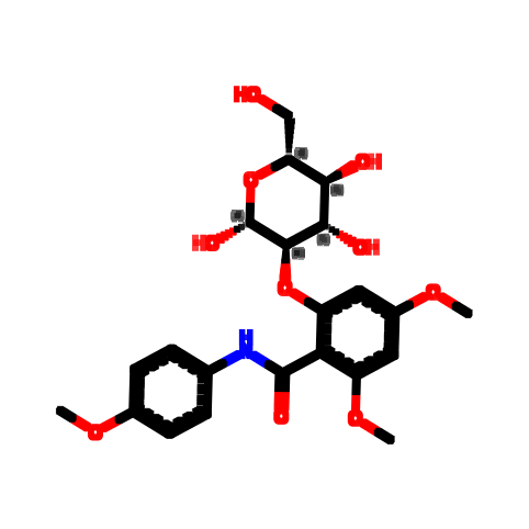 COc1ccc(NC(=O)c2c(OC)cc(OC)cc2O[C@@H]2[C@@H](O)[C@H](O)[C@@H](CO)O[C@H]2O)cc1